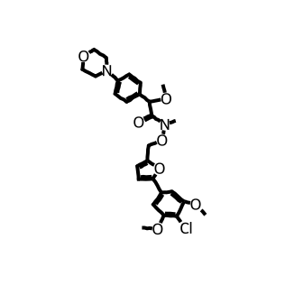 COc1cc(-c2ccc(CON(C)C(=O)C(OC)c3ccc(N4CCOCC4)cc3)o2)cc(OC)c1Cl